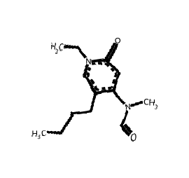 CCCCc1cn(CC)c(=O)cc1N(C)C=O